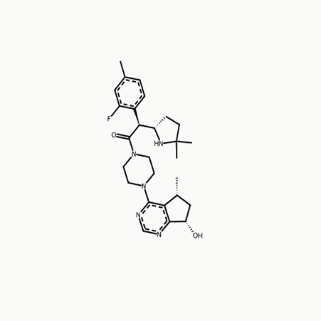 Cc1ccc([C@H](C(=O)N2CCN(c3ncnc4c3[C@H](C)C[C@@H]4O)CC2)[C@@H]2CCC(C)(C)N2)c(F)c1